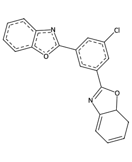 Clc1cc(C2=NC3=CC=CCC3O2)cc(-c2nc3ccccc3o2)c1